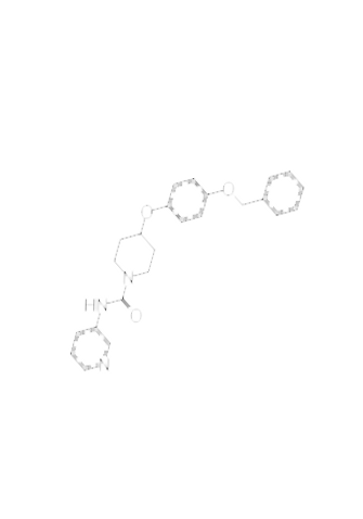 O=C(Nc1cccnc1)N1CCC(Oc2ccc(OCc3ccccc3)cc2)CC1